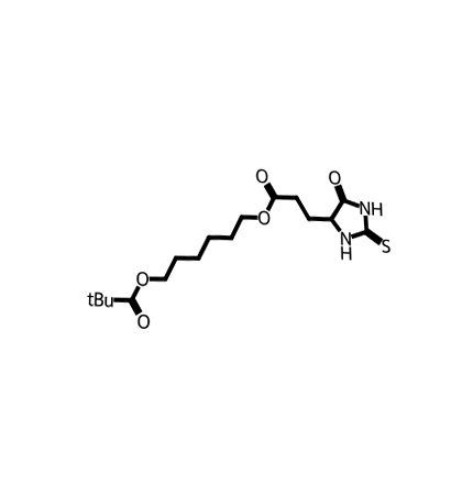 CC(C)(C)C(=O)OCCCCCCOC(=O)CCC1NC(=S)NC1=O